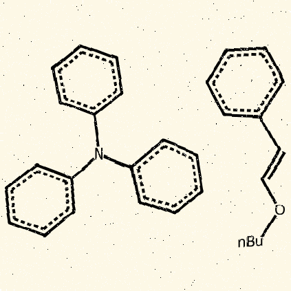 CCCCOC=Cc1ccccc1.c1ccc(N(c2ccccc2)c2ccccc2)cc1